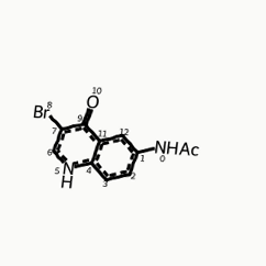 CC(=O)Nc1ccc2[nH]cc(Br)c(=O)c2c1